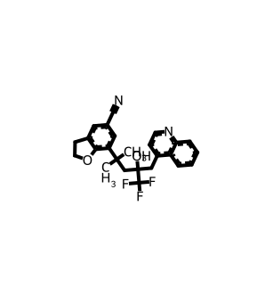 CC(C)(CC(O)(Cc1ccnc2ccccc12)C(F)(F)F)c1cc(C#N)cc2c1OCC2